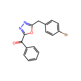 O=C(c1ccccc1)c1nnc(Cc2ccc(Br)cc2)o1